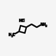 CC1CC(CCN)C1.Cl